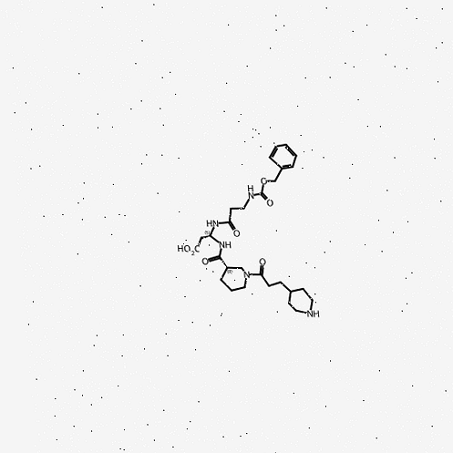 O=C(O)C[C@@H](NC(=O)CCNC(=O)OCc1ccccc1)NC(=O)[C@@H]1CCCN(C(=O)CCC2CCNCC2)C1